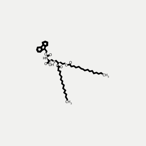 CCCCCCCCCCCCCCCC(=O)OCCC[C@H](CSC[C@H](NC(=O)OCC1c2ccccc2-c2ccccc21)C(=O)O)OC(=O)CCCCCCCCCCCCCCC